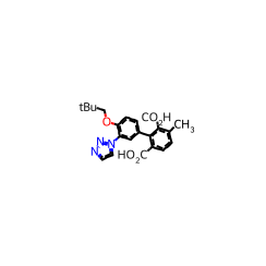 Cc1ccc(C(=O)O)c(-c2ccc(OCC(C)(C)C)c(-n3ccnn3)c2)c1C(=O)O